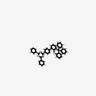 c1ccc(-c2nc(-c3ccccc3)nc(-c3ccc(-c4cccc5c4Oc4ccccc4C5(c4ccccc4)c4ccccc4)cc3)n2)cc1